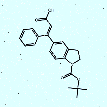 CC(C)(C)OC(=O)N1CCc2cc(C(=CC(=O)O)c3ccccc3)ccc21